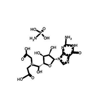 NP(=O)(O)O.Nc1nc2c(ncn2[C@@H]2O[C@H](C(O)N(CC(=O)O)CC(=O)O)[C@@H](O)[C@H]2O)c(=O)[nH]1